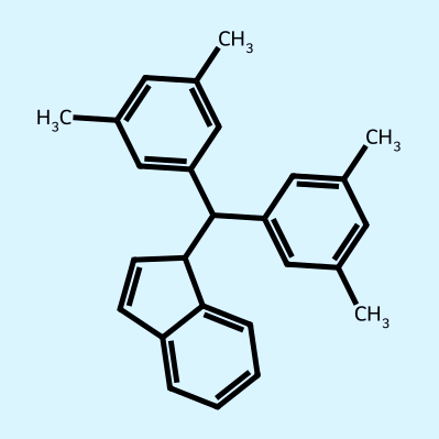 Cc1cc(C)cc(C(c2cc(C)cc(C)c2)C2C=Cc3ccccc32)c1